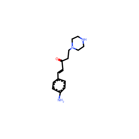 Nc1ccc(C=CC(=O)CCN2CCNCC2)cc1